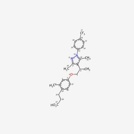 Cc1cc(OCC(C)c2c(C)nn(-c3ccc(C(F)(F)F)cc3)c2C)ccc1CCC(=O)O